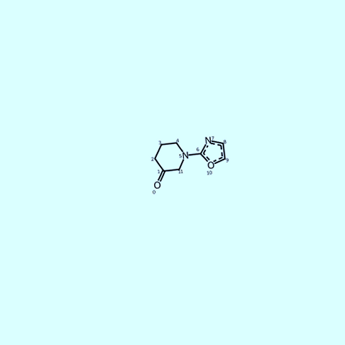 O=C1CCCN(c2ncco2)C1